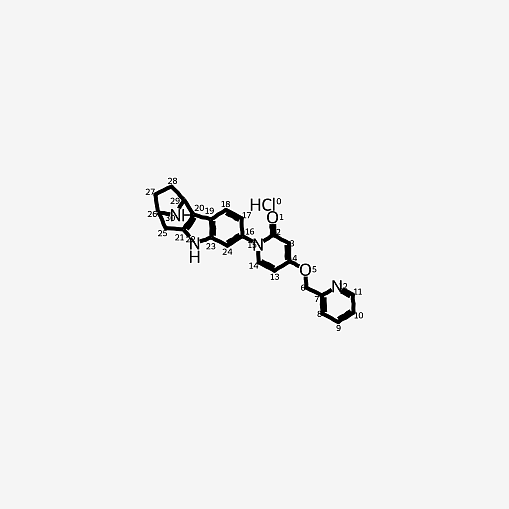 Cl.O=c1cc(OCc2ccccn2)ccn1-c1ccc2c3c([nH]c2c1)CC1CCC3N1